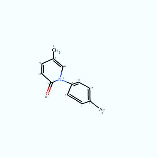 CC(=O)c1ccc(-n2cc(C)ccc2=O)cc1